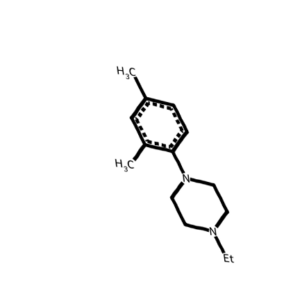 CCN1CCN(c2ccc(C)cc2C)CC1